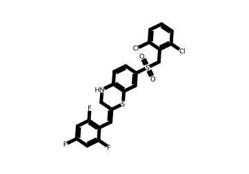 O=S(=O)(Cc1c(Cl)cccc1Cl)c1ccc2c(c1)SC(=Cc1c(F)cc(F)cc1F)CN2